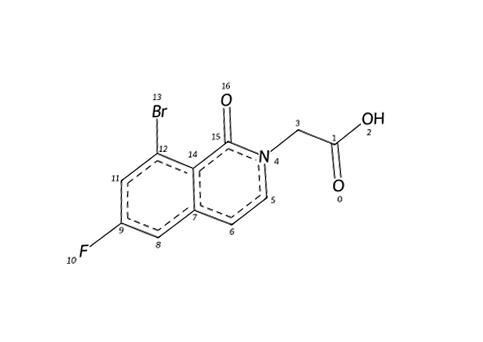 O=C(O)Cn1ccc2cc(F)cc(Br)c2c1=O